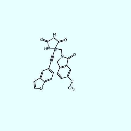 COc1ccc2c(c1)C(=O)N(C[C@@]1(C#Cc3ccc4occc4c3)NC(=O)NC1=O)C2